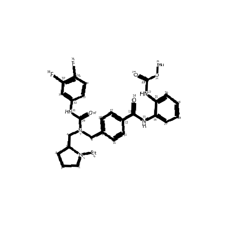 CCN1CCCC1CN(Cc1ccc(C(=O)Nc2ccccc2NC(=O)OC(C)(C)C)cc1)C(=O)Nc1ccc(F)c(F)c1